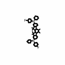 Cc1c(C)c2c(c3c1-c1ccc(N(c4ccccc4)c4ccc(F)cc4)cc1C3(C)C)C(C)(C)c1cc(N(c3ccccc3)c3ccc(F)cc3)ccc1-2